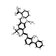 COc1cc(C(Br)=Cc2cccc(-c3ccccc3)c2C)c(C(F)(F)F)cc1CN1CCCCC1C(=O)O